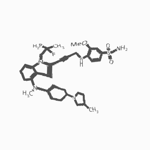 COc1cc(S(N)(=O)=O)ccc1NCC#Cc1cc2c(n1CC(C)(F)P)=CCCC=2N(C)C1CCC(N2CCC(C)C2)CC1